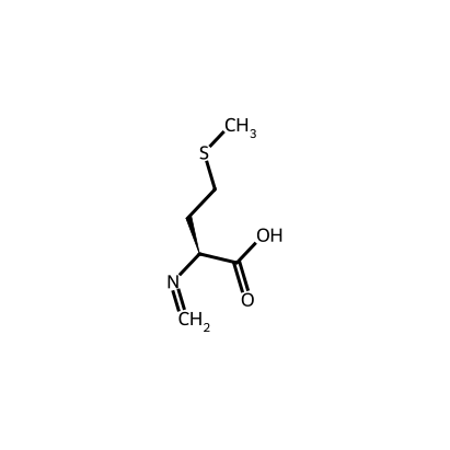 C=N[C@@H](CCSC)C(=O)O